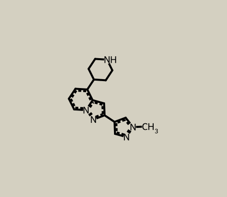 Cn1cc(-c2cc3c(C4CCNCC4)cccn3n2)cn1